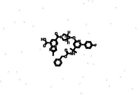 Cc1cn2cc(C(=O)N3C[C@@H]4C(Oc5cc(C(C)(C)NC(=O)OCc6ccccc6)cc(-c6ccc(F)cc6)n5)[C@@H]4C3)cc(C(=O)O)c2n1